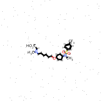 CN(CCCCCCOC1CCC(N(C)S(=O)(=O)c2ccc(C(F)(F)F)cc2)CC1)CC(=O)O